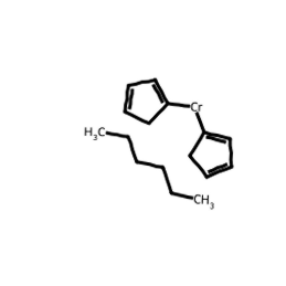 C1=CC[C]([Cr][C]2=CC=CC2)=C1.CCCCCC